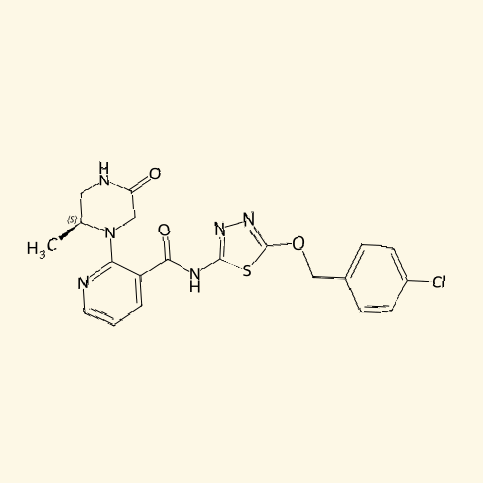 C[C@H]1CNC(=O)CN1c1ncccc1C(=O)Nc1nnc(OCc2ccc(Cl)cc2)s1